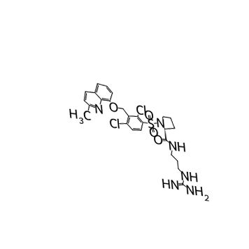 Cc1ccc2cccc(OCc3c(Cl)ccc(S(=O)(=O)N4CCC[C@H]4C(=O)NCCCNC(=N)N)c3Cl)c2n1